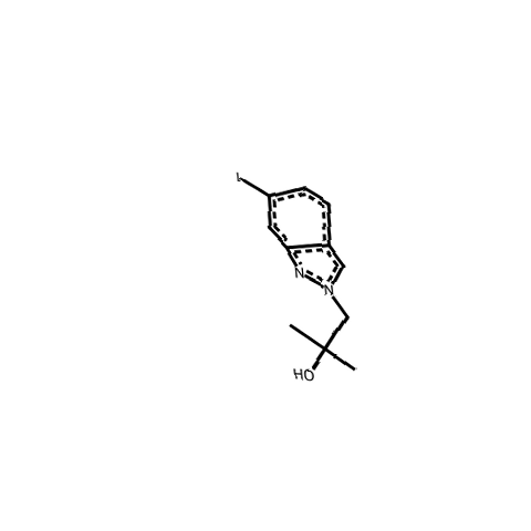 CC(C)(O)Cn1cc2ccc(I)cc2n1